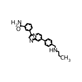 CCCNCc1ccc(-c2ccn3c(-c4cccc(C(N)=O)c4)cnc3c2)cc1